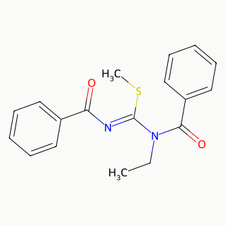 CCN(C(=O)c1ccccc1)C(=NC(=O)c1ccccc1)SC